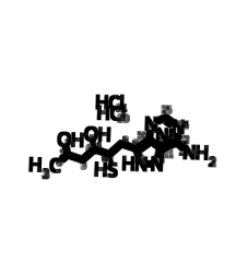 CC(O)C[C@@H](O)[C@@H](S)CC1=C2C3=C(N)N=CN2NN3N1.Cl.Cl